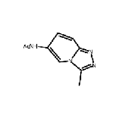 CC(=O)Nc1ccc2nnc(C)n2c1